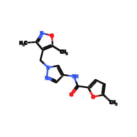 Cc1ccc(C(=O)Nc2cnn(Cc3c(C)noc3C)c2)o1